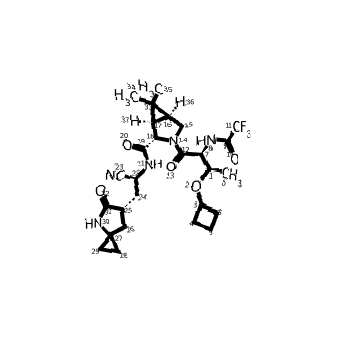 C[C@@H](OC1CCC1)[C@H](NC(=O)C(F)(F)F)C(=O)N1C[C@H]2[C@@H]([C@H]1C(=O)N[C@H](C#N)C[C@@H]1CC3(CC3)NC1=O)C2(C)C